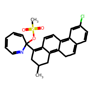 CC1CC(C2(OS(C)(=O)=O)C=CC=CC=N2)=c2ccc3c(c2C1)CC=c1ccc(Cl)cc1=3